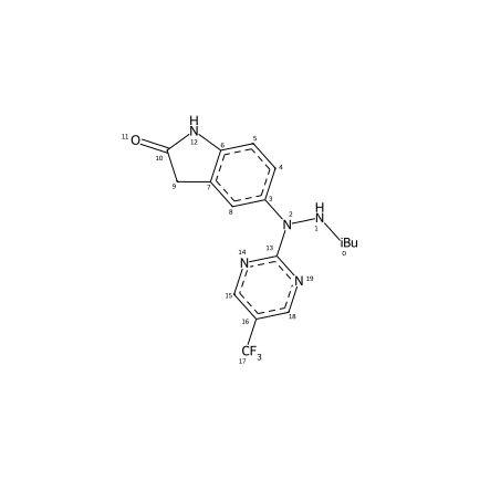 CCC(C)NN(c1ccc2c(c1)CC(=O)N2)c1ncc(C(F)(F)F)cn1